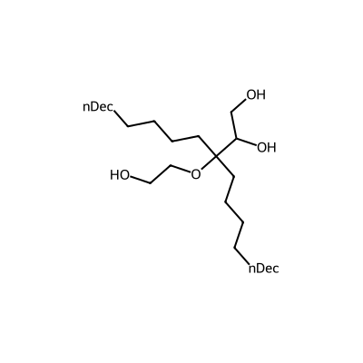 CCCCCCCCCCCCCCC(CCCCCCCCCCCCCC)(OCCO)C(O)CO